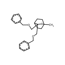 CC12CCC(CC1)C(COCc1ccccc1)(COCc1ccccc1)O2